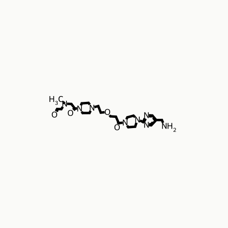 CN(CC=O)CC(=O)N1CCN(CCOCCC(=O)N2CCN(c3ncc(CN)cn3)CC2)CC1